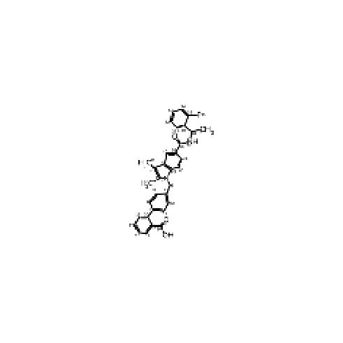 Cc1c(C)n(Cc2ccc(-c3ccccc3C(=O)O)cc2)c2ccc(C(=O)NC(C)c3ccccc3F)cc12